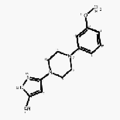 N#Cc1cc(N2CCN(c3cccc(OC(F)(F)F)c3)CC2)no1